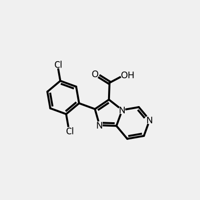 O=C(O)c1c(-c2cc(Cl)ccc2Cl)nc2ccncn12